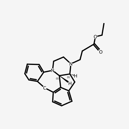 CCOC(=O)CCN1CCN2c3ccccc3Cc3cccc4c3[C@H]2[C@@H]1C4